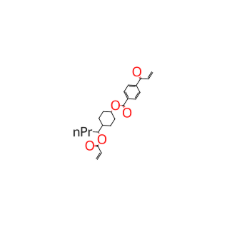 C=CC(=O)OC(CCC)C1CCC(OC(=O)c2ccc(C(=O)C=C)cc2)CC1